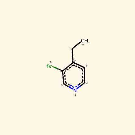 CCc1ccncc1Br